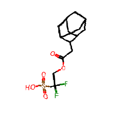 O=C(CC1C2CC3CC(C2)CC1C3)OCC(F)(F)S(=O)(=O)O